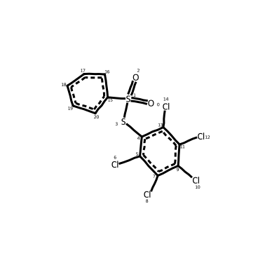 O=S(=O)(Sc1c(Cl)c(Cl)c(Cl)c(Cl)c1Cl)c1ccccc1